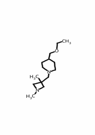 CCOCC1CCN(CC2(C)CN(C)C2)CC1